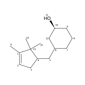 CC1=CCC(CC2CCC[C@H](O)C2)C1(C)C